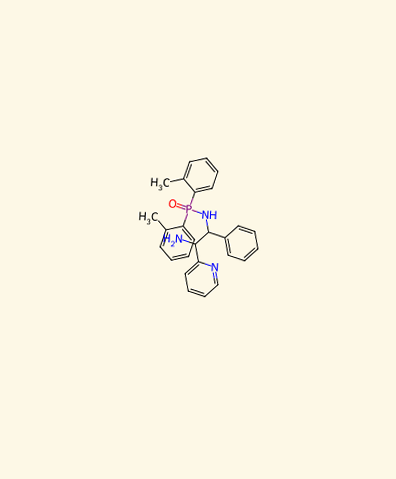 Cc1ccccc1P(=O)(NC(c1ccccc1)C(N)c1ccccn1)c1ccccc1C